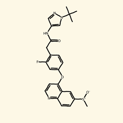 C[S+]([O-])c1ccc2nccc(Oc3ccc(CC(=O)Nc4cnn(C(C)(C)C)c4)c(F)c3)c2c1